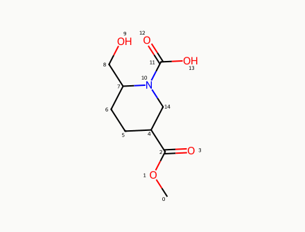 COC(=O)C1CCC(CO)N(C(=O)O)C1